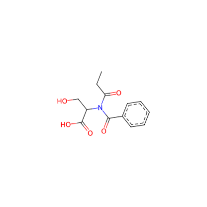 CCC(=O)N(C(=O)c1ccccc1)C(CO)C(=O)O